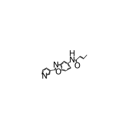 C/C=C/C(=O)Nc1ccc2oc(-c3cccnc3)nc2c1